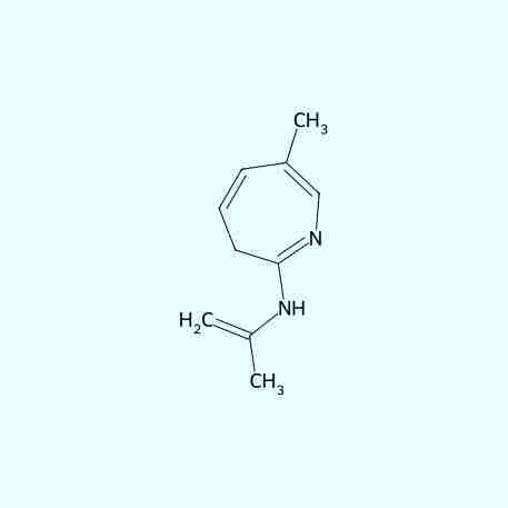 C=C(C)NC1=NC=C(C)C=CC1